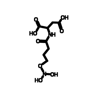 O=C(O)CC(NC(=O)CCCON(O)O)C(=O)O